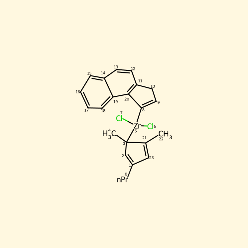 CCCC1=C[C](C)([Zr]([Cl])([Cl])[C]2=CCc3ccc4ccccc4c32)C(C)=C1